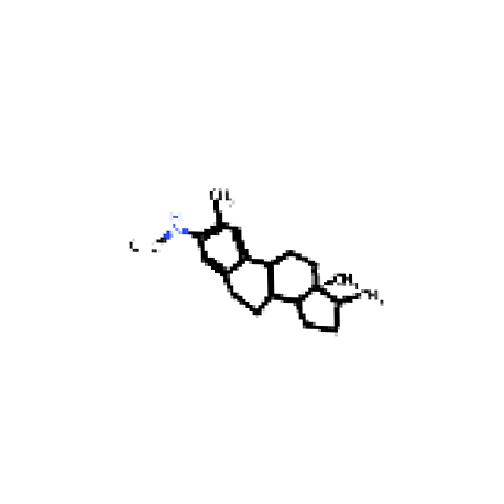 Cc1cc2c(cc1NC=O)CCC1C2CC[C@]2(C)C(C)CCC12